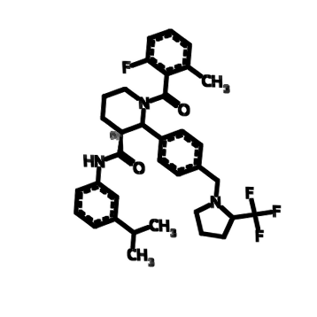 Cc1cccc(F)c1C(=O)N1CCC[C@H](C(=O)Nc2cccc(C(C)C)c2)C1c1ccc(CN2CCCC2C(F)(F)F)cc1